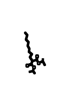 CCCCCCCCCC(C(=O)OC(C)C)C(=O)OC(C)C